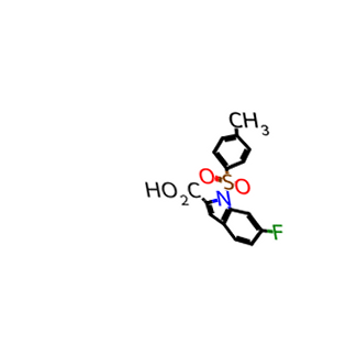 Cc1ccc(S(=O)(=O)n2c(C(=O)O)cc3ccc(F)cc32)cc1